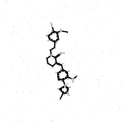 COc1cc(CCN2CCC/C(=C\c3ccc(-n4cnc(C)c4)c(OC)c3)C2=O)ccc1F